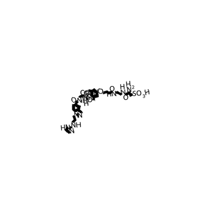 Cc1cc(OCCCC(=O)NCCNC(=O)[C@@H](N)CS(=O)(=O)O)cc(C)c1S(=O)(=O)N[C@@H](CNC(=O)c1ccc2c(cnn2CCCNc2ncc[nH]2)c1)C(=O)O